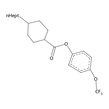 CCCCCCCC1CCC(C(=O)Oc2ccc(OC(F)(F)F)cc2)CC1